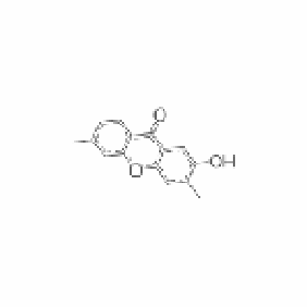 Cc1ccc2c(=O)c3cc(O)c(C)cc3oc2c1